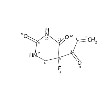 C=CC(=O)C1(F)CNC(=O)NC1=O